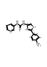 O=C(Nc1cccnc1)Nc1csc(-c2ccc(C(F)(F)F)cc2)n1